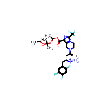 C=C(C[C@@H](Cc1cc(F)c(F)cc1F)NN)N1CCn2c(C(F)(F)F)nc(C(=O)OC(C)OC(C)(C)OCC)c2C1